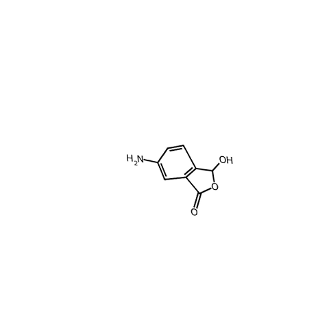 Nc1ccc2c(c1)C(=O)OC2O